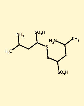 CC(N)CC(SSC(CC(C)N)S(=O)(=O)O)S(=O)(=O)O